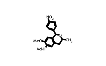 COc1cc2c(cc1NC(C)=O)CC(C)OC2c1ccc([N+](=O)[O-])cc1